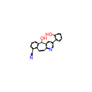 N#Cc1cccc2c1C=Cc1ncc(-c3ccccc3O)cc1C2O